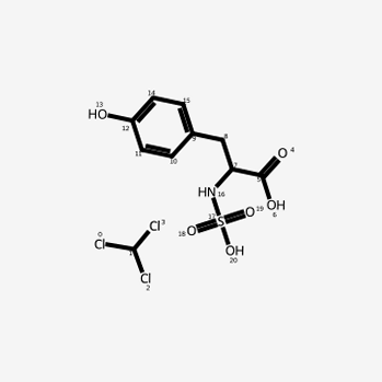 ClC(Cl)Cl.O=C(O)C(Cc1ccc(O)cc1)NS(=O)(=O)O